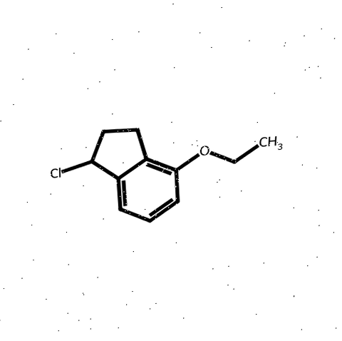 CCOc1cccc2c1CCC2Cl